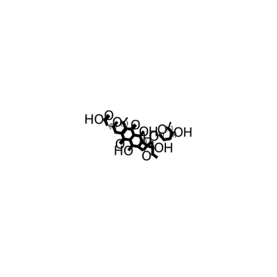 CC1OC2C3C(O)C4C(=O)C5=C(C(=O)C4C(O)[C@@H]3C23C(O[C@H]2CC[C@H](O)[C@H](C)O2)C13O)[C@H](C)O[C@@H](CC(=O)O)C5